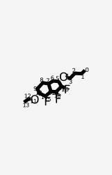 CCCCOC1CC2CCC(OCC)C(F)C2C(F)C1F